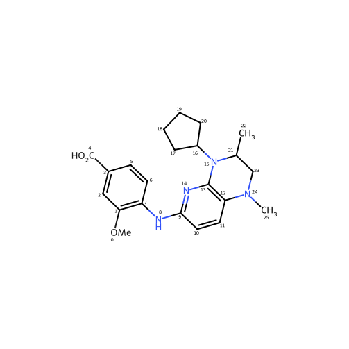 COc1cc(C(=O)O)ccc1Nc1ccc2c(n1)N(C1CCCC1)C(C)CN2C